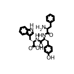 N[C@@H](Cc1ccccc1)C(=O)N[C@@H](Cc1ccc(O)cc1)C(=O)N[C@@H](Cc1c[nH]c2ccccc12)C(=O)O